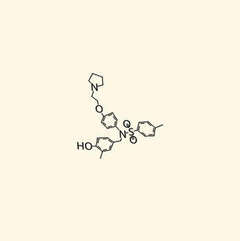 Cc1ccc(S(=O)(=O)N(Cc2ccc(O)c(C)c2)c2ccc(OCCN3CCCC3)cc2)cc1